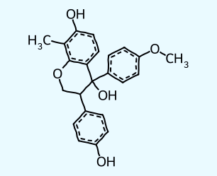 COc1ccc(C2(O)c3ccc(O)c(C)c3OCC2c2ccc(O)cc2)cc1